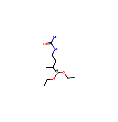 CCO[SiH](OCC)C(C)CCNC(N)=O